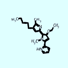 CCCCCC1=CC(=C2C(OCC)C=C(c3ccc[nH]3)N2C)N=C1C